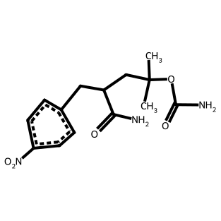 CC(C)(CC(Cc1ccc([N+](=O)[O-])cc1)C(N)=O)OC(N)=O